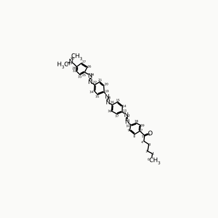 CCCCCC(=O)c1ccc(N=Nc2ccc(N=Nc3ccc(N=Nc4ccc(N(C)C)cc4)cc3)cc2)cc1